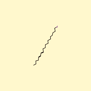 CCCC/C=C/C=C/CCCCCCCCCCCI